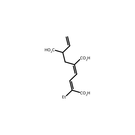 C=CC(CC(=CC=C(CC)C(=O)O)C(=O)O)C(=O)O